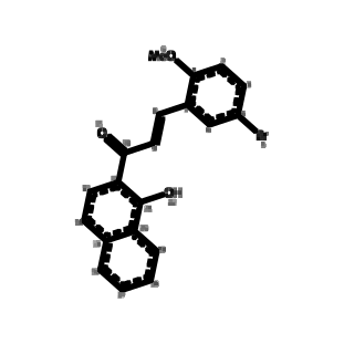 COc1ccc(Br)cc1C=CC(=O)c1ccc2ccccc2c1O